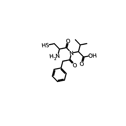 CC(C)C(C(=O)O)N(C(=O)Cc1ccccc1)C(=O)C(N)CS